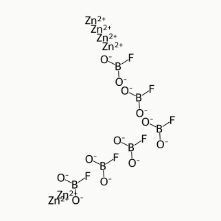 [O-]B([O-])F.[O-]B([O-])F.[O-]B([O-])F.[O-]B([O-])F.[O-]B([O-])F.[O-]B([O-])F.[Zn+2].[Zn+2].[Zn+2].[Zn+2].[Zn+2].[Zn+2]